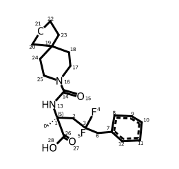 C[C@@](CC(F)(F)Cc1ccccc1)(NC(=O)N1CCC2(CCCC2)CC1)C(=O)O